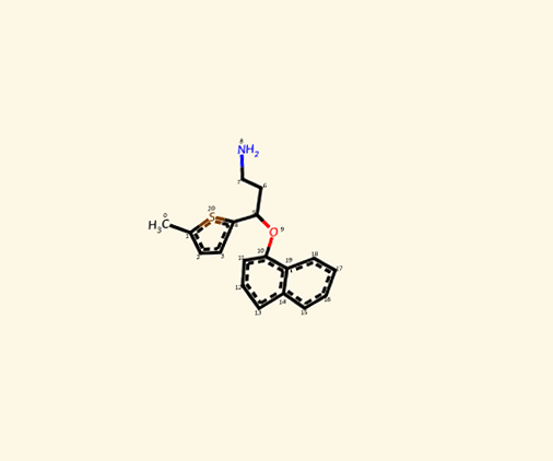 Cc1ccc(C(CCN)Oc2cccc3ccccc23)s1